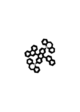 C1=CC2=C(CC1)CCc1ccccc1N2c1ccc2c(-c3cc4ccccc4c4ccccc34)c3cc(N4C5=C(CCC=C5)CCc5ccccc54)ccc3c(-c3ccc4ccccc4c3)c2c1